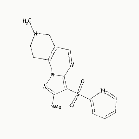 CNc1nn2c3c(cnc2c1S(=O)(=O)c1ccccn1)CN(C)CC3